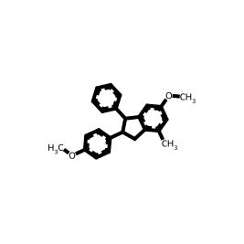 COc1ccc(C2Cc3c(C)cc(OC)cc3C2c2ccccc2)cc1